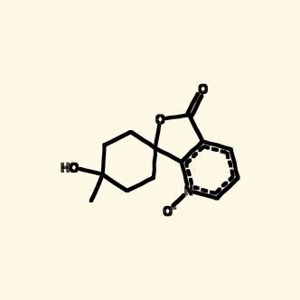 CC1(O)CCC2(CC1)OC(=O)c1ccc[n+]([O-])c12